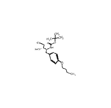 CCCCOc1ccc(C[C@H](NC(=O)OC(C)(C)C)[C@H](O)CCl)cc1